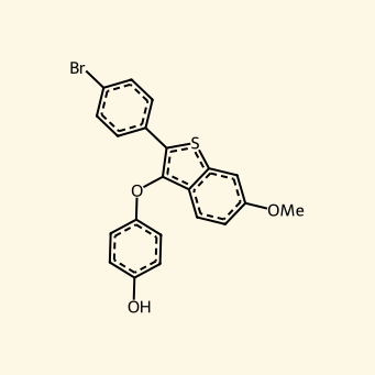 COc1ccc2c(Oc3ccc(O)cc3)c(-c3ccc(Br)cc3)sc2c1